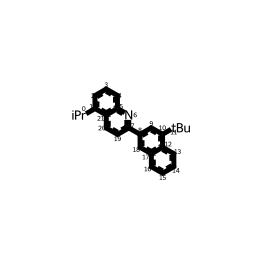 CC(C)c1cccc2nc(-c3cc(C(C)(C)C)c4ccccc4c3)ccc12